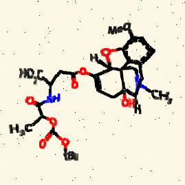 COc1ccc2c3c1O[C@H]1C(OC(=O)CC(NC(=O)C(C)OC(=O)OC(C)(C)C)C(=O)O)=CC[C@@]4(O)[C@@H](C2)N(C)CC[C@]314